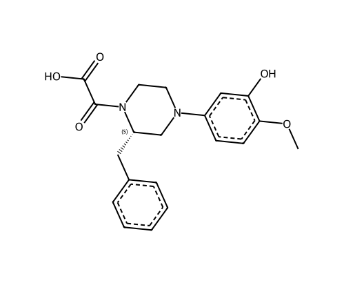 COc1ccc(N2CCN(C(=O)C(=O)O)[C@@H](Cc3ccccc3)C2)cc1O